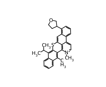 Cc1c2c(c(C(C)C)c3ccccc13)Sc1cc3c(C4CCOC4)cccc3c3cc[n+](C)c-2c13